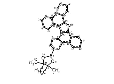 CC1(C)OB(c2ccc3c(c2)c2ccccc2c2nc4c5ccccc5c5ccccc5c4n32)OC1(C)C